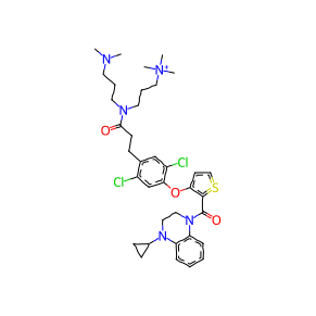 CN(C)CCCN(CCC[N+](C)(C)C)C(=O)CCc1cc(Cl)c(Oc2ccsc2C(=O)N2CCN(C3CC3)c3ccccc32)cc1Cl